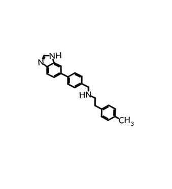 Cc1ccc(CCNCc2ccc(-c3ccc4nc[nH]c4c3)cc2)cc1